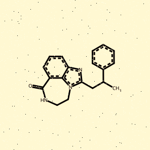 CC(Cc1nc2cccc3c2n1CCNC3=O)c1ccccc1